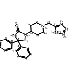 O=C1NC(c2ccccc2)(c2ccccc2)CN1C1CCN(Cc2nnn[nH]2)CC1